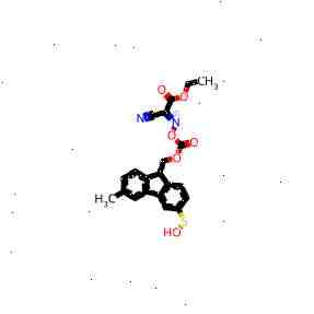 CCOC(=O)/C(C#N)=N/OC(=O)OCC1c2ccc(C)cc2-c2cc(SO)ccc21